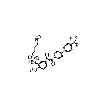 O=NCCCCS(=O)(=O)Nc1cc(NC(=O)c2ccc(-c3ccc(C(F)(F)F)cc3)cc2)ccc1O